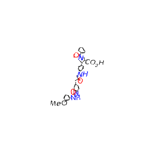 COc1cccc(Nc2nc3ccc(CC(=O)CNc4ccc(C5CN(C(=O)c6ccccc6)CC5C(=O)O)cc4)cc3o2)c1